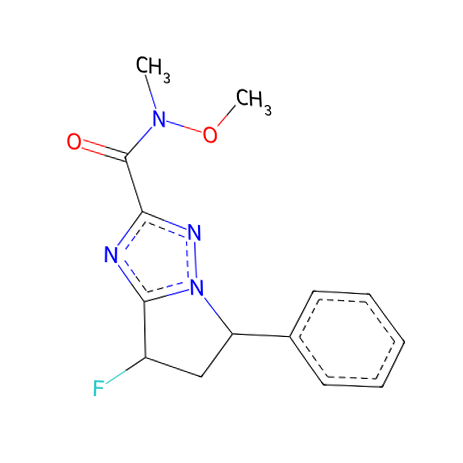 CON(C)C(=O)c1nc2n(n1)C(c1ccccc1)CC2F